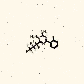 Cc1ccccc1C1=NC(N)N(N)C(C(F)(F)C(F)(F)C(F)(F)F)=N1